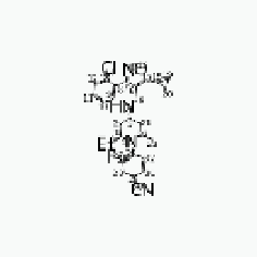 CCC1CC(NCc2c(-c3ccccc3Cl)noc2C2CC2)CC(C)N1C1=C(F)CC(C#N)C=C1